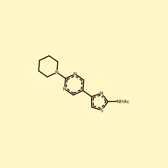 CC(=O)Nc1nc(-c2cnc(N3CCCCC3)nc2)cs1